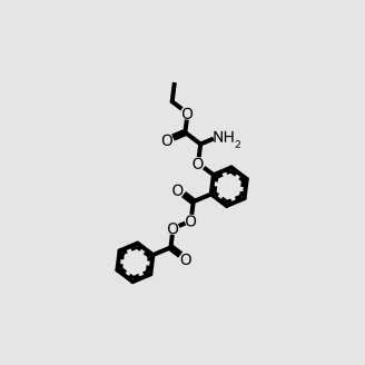 CCOC(=O)C(N)Oc1ccccc1C(=O)OOC(=O)c1ccccc1